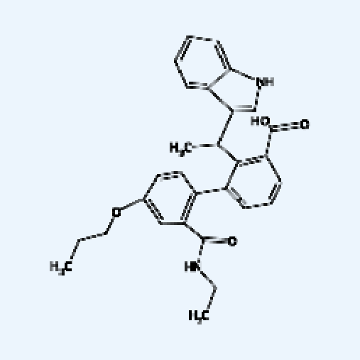 CCCOc1ccc(-c2cccc(C(=O)O)c2C(C)c2c[nH]c3ccccc23)c(C(=O)NCC)c1